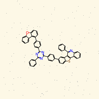 c1ccc(-c2nc(-c3ccc(-c4ccc5sc6c7ccccc7nc(-c7ccccc7)c6c5c4)cc3)nc(-c3ccc(-c4cccc5oc6ccccc6c45)cc3)n2)cc1